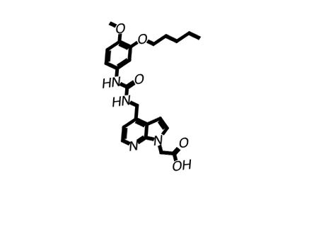 CCCCCOc1cc(NC(=O)NCc2ccnc3c2ccn3CC(=O)O)ccc1OC